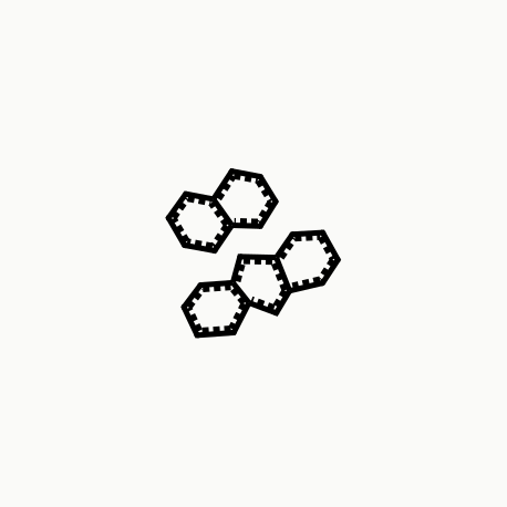 c1ccc2cc3ccccc3cc2c1.c1ccc2ccccc2c1